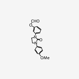 COc1ccc(N2CCN(c3cccc(OC=O)c3)C2=O)cc1